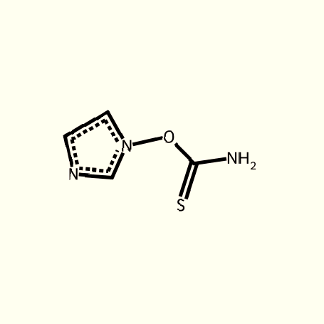 NC(=S)On1ccnc1